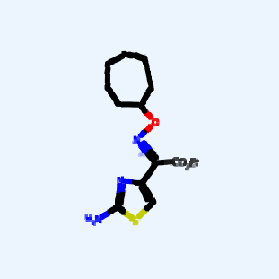 CCOC(=O)/C(=N\OC1CCCCCC1)c1csc(N)n1